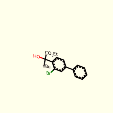 CCCCC(O)(C(=O)OCC)c1ccc(-c2ccccc2)cc1Br